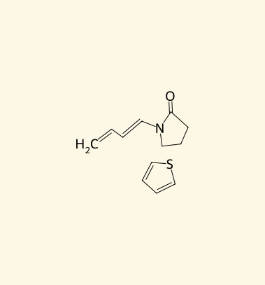 C=CC=CN1CCCC1=O.c1ccsc1